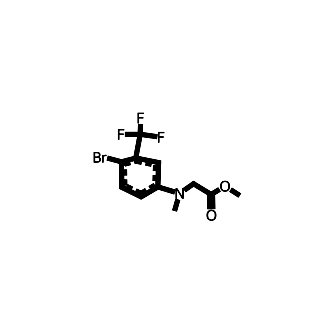 COC(=O)CN(C)c1ccc(Br)c(C(F)(F)F)c1